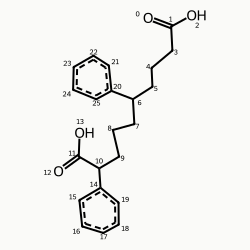 O=C(O)CCCC(CCCC(C(=O)O)c1ccccc1)c1ccccc1